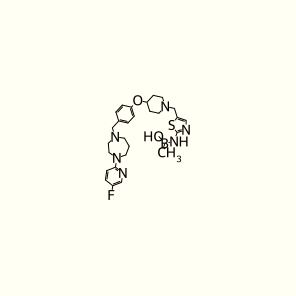 CB(O)Nc1ncc(CN2CCC(Oc3ccc(CN4CCCN(c5ccc(F)cn5)CC4)cc3)CC2)s1